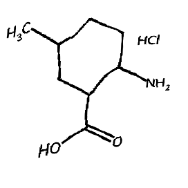 CC1CCC(N)C(C(=O)O)C1.Cl